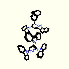 C1=Cc2c(c3ccccc3n2-c2cc(-n3c4ccccc4c4c5c(ccc43)c3ccccc3n5C3=CC(c4ccc5ccccc5c4)NC(c4ccc5ccccc5c4)=C3)cc(-n3c4ccccc4c4ccccc43)n2)CC1